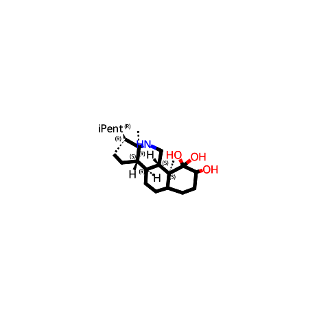 CCC[C@@H](C)[C@H]1CC[C@H]2[C@@H]3CCC4CCC(O)C(O)(O)[C@]4(C)[C@H]3CN[C@]12C